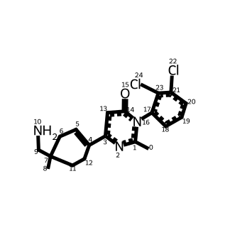 Cc1nc(C2=CCC(C)(CN)CC2)cc(=O)n1-c1cccc(Cl)c1Cl